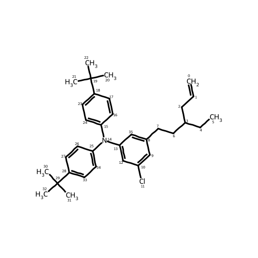 C=CCC(CC)CCc1cc(Cl)cc(N(c2ccc(C(C)(C)C)cc2)c2ccc(C(C)(C)C)cc2)c1